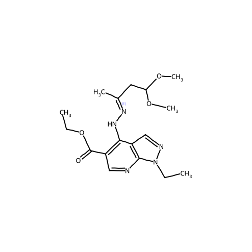 CCOC(=O)c1cnc2c(cnn2CC)c1N/N=C(\C)CC(OC)OC